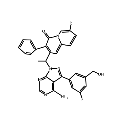 CC(c1cc2ccc(F)cn2c(=O)c1-c1ccccc1)n1nc(-c2cc(F)cc(CO)c2)c2c(N)ncnc21